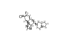 Fc1cc2nc(N3CCN4CCCC4C3)c3ncnn3c2cc1Cl